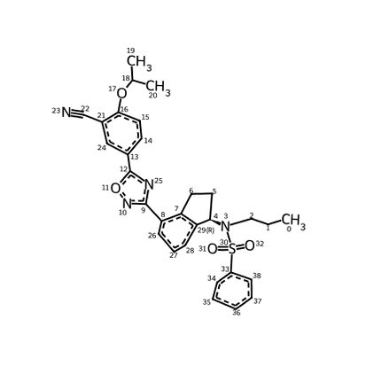 CCCN([C@@H]1CCc2c(-c3noc(-c4ccc(OC(C)C)c(C#N)c4)n3)cccc21)S(=O)(=O)c1ccccc1